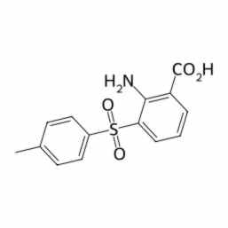 Cc1ccc(S(=O)(=O)c2cccc(C(=O)O)c2N)cc1